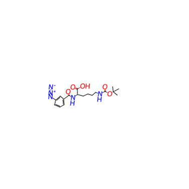 CC(C)(C)OC(=O)NCCCCC(NC(=O)c1cccc(N=[N+]=[N-])c1)C(=O)O